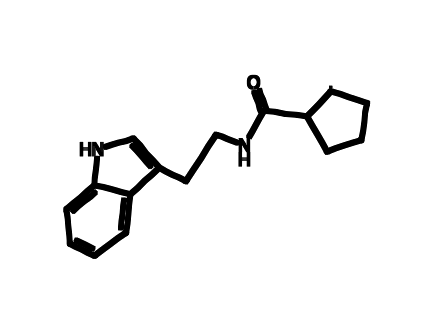 O=C(NCCc1c[nH]c2ccccc12)C1[CH]CCC1